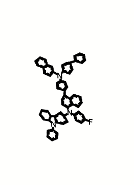 Fc1ccc(N(c2ccc3c(c2)C2C=CC=CC2N3c2ccccc2)c2ccc(-c3ccc(N(c4ccc(-c5ccccc5)cc4)c4ccc5ccccc5c4)cc3)c3ccccc23)cc1